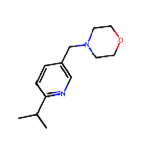 CC(C)c1ccc(CN2CCOCC2)cn1